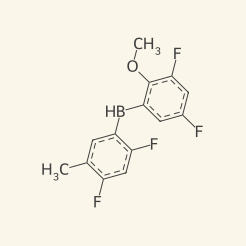 COc1c(F)cc(F)cc1Bc1cc(C)c(F)cc1F